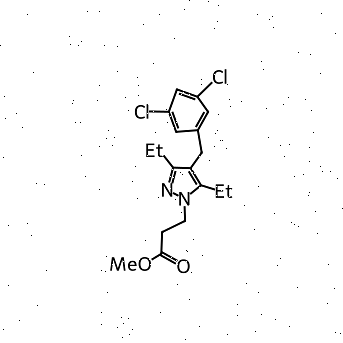 CCc1nn(CCC(=O)OC)c(CC)c1Cc1cc(Cl)cc(Cl)c1